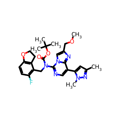 COCc1cn2c(N(Cc3c(F)ccc4c3CCO4)C(=O)OC(C)(C)C)ncc(-c3cc(C)nn3C)c2n1